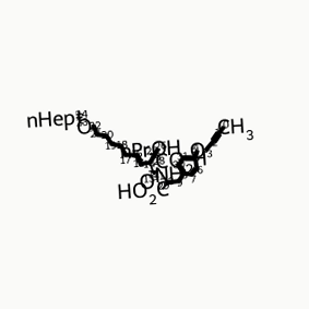 CC#CCOc1ccc(C[C@H](NC(=O)[C@@H](/C=C/CCCCCCOCCCCCCC)[C@@](O)(CCC)C(=O)O)C(=O)O)cc1